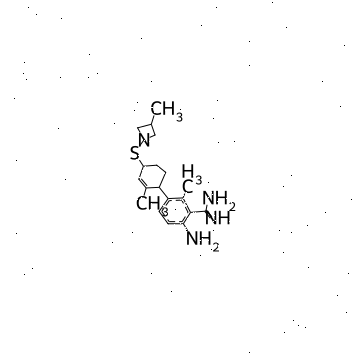 CC1=CC(SN2CC(C)C2)CCC1c1ccc(N)c(C(=N)N)c1C